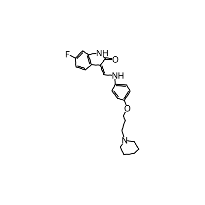 O=C1Nc2cc(F)ccc2C1=CNc1ccc(OCCCN2CCCCC2)cc1